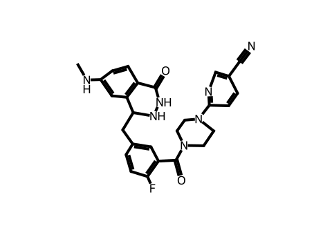 CNc1ccc2c(c1)C(Cc1ccc(F)c(C(=O)N3CCN(c4ccc(C#N)cn4)CC3)c1)NNC2=O